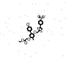 CCOC(=O)COc1cc(-c2ccc(OC)cc2)c(OCc2nc(-c3ccc([N+](=O)[O-])cc3)cs2)cc1C